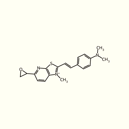 CN(C)c1ccc(C=Cc2sc3nc(C4CO4)ccc3[n+]2C)cc1